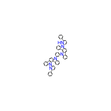 C1=CC(n2c3ccccc3c3c4c(ccc32)c2ccccc2n4-c2cccc(-n3c4ccccc4c4c3ccc3c5ccccc5n(-c5cccc(-c6ccccc6)n5)c34)c2)NC(c2ccccc2)=C1